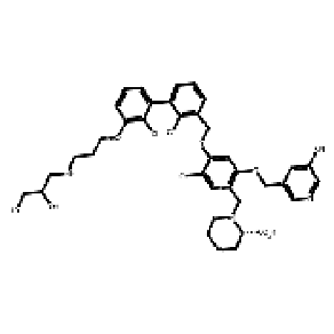 N#Cc1cncc(COc2cc(OCc3cccc(-c4cccc(OCCCNCC(O)CO)c4Cl)c3Cl)c(Cl)cc2CN2CCCC[C@H]2C(=O)O)c1